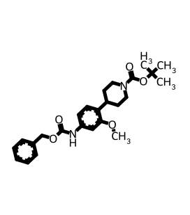 COc1cc(NC(=O)OCc2ccccc2)ccc1C1CCN(C(=O)OC(C)(C)C)CC1